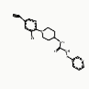 C#Cc1cnc(N2CCC(NC(=O)NSc3cccnc3)CC2)c(Cl)c1